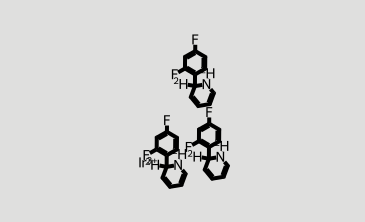 [2H]N1C=CC=CC1([2H])c1ccc(F)cc1F.[2H]N1C=CC=CC1([2H])c1ccc(F)cc1F.[2H]N1C=CC=CC1([2H])c1ccc(F)cc1F.[Ir+3]